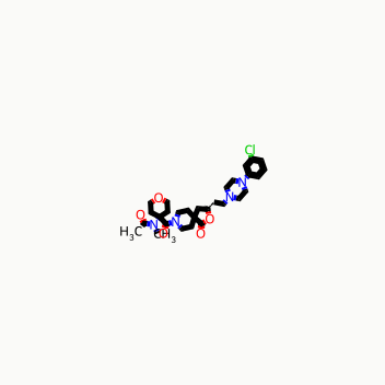 CC(=O)N(C)C1(C(=O)N2CCC3(CC2)C[C@H](CCN2CCN(c4cccc(Cl)c4)CC2)OC3=O)CCOCC1